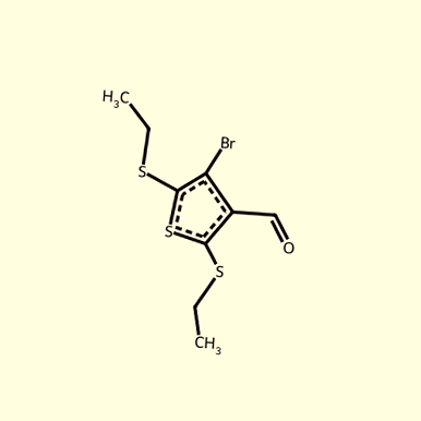 CCSc1sc(SCC)c(C=O)c1Br